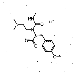 CNC(=O)N(CCN(C)C)[C@@H](Cc1ccc(OC)cc1)C(=O)[O-].[Li+]